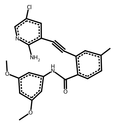 COc1cc(NC(=O)c2ccc(C)cc2C#Cc2cc(Cl)cnc2N)cc(OC)c1